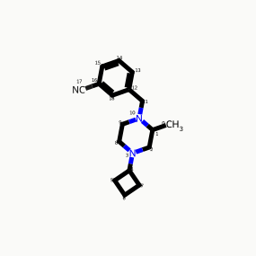 CC1CN(C2CCC2)CCN1Cc1cccc(C#N)c1